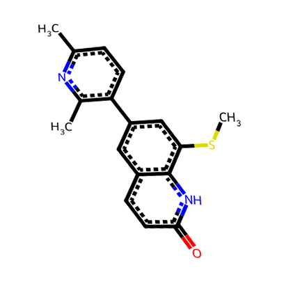 CSc1cc(-c2ccc(C)nc2C)cc2ccc(=O)[nH]c12